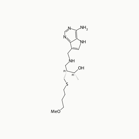 COCCCCSC[C@H](CNCc1c[nH]c2c(N)ncnc12)[C@@H](C)O